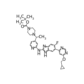 CC(c1ccnc(Nc2nc3cc(F)c(-c4cc(OCC5CC5)ncn4)cc3[nH]2)c1)N1CCN(C(=O)OC(C)(C)C)CC1